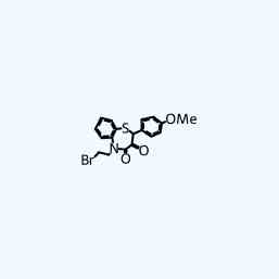 COc1ccc(C2Sc3ccccc3N(CCBr)C(=O)C2=O)cc1